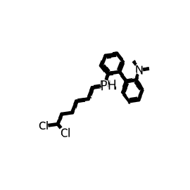 CN(C)c1ccccc1-c1ccccc1PCCCCCC(Cl)Cl